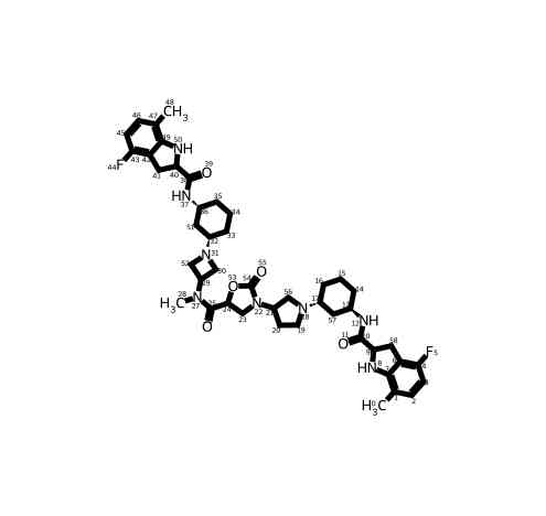 Cc1ccc(F)c2c1NC(C(=O)N[C@@H]1CCC[C@@H](N3CCC(N4CC(C(=O)N(C)C5CN([C@H]6CCC[C@@H](NC(=O)C7Cc8c(F)ccc(C)c8N7)C6)C5)OC4=O)C3)C1)C2